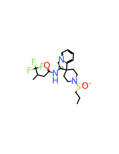 CCC[S+]([O-])N1CCC(c2ccccn2)([C@H](C)NC(=O)CC(C)C(F)(F)F)CC1